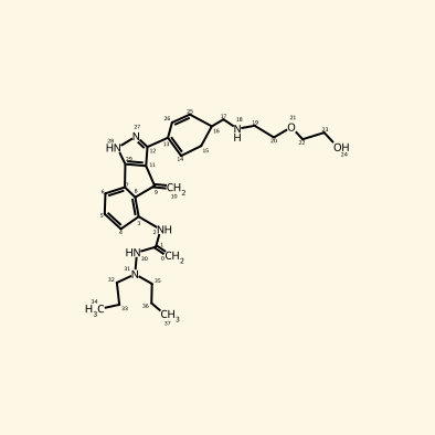 C=C(Nc1cccc2c1C(=C)c1c(C3=CCC(CNCCOCCO)C=C3)n[nH]c1-2)NN(CCC)CCC